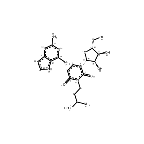 NC(CCn1c(=O)ccn([C@@H]2O[C@H](CO)[C@@H](O)[C@H]2O)c1=O)C(=O)O.Nc1nc(N)c2[nH]cnc2n1